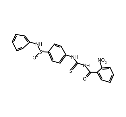 O=C(NC(=S)Nc1ccc([S+]([O-])Nc2ccccc2)cc1)c1ccccc1[N+](=O)[O-]